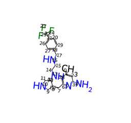 Cc1cc(N)nc(C[C@H]2CNC[C@@H]2NCCNCc2ccc(C(F)(F)F)cc2)c1